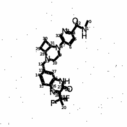 CNC(=O)c1ccc(N2CCN(Cc3ccc4nc(C(C)(F)F)c(=O)[nH]c4c3)C3CCC32)cn1